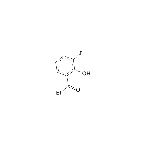 CCC(=O)c1cccc(F)c1O